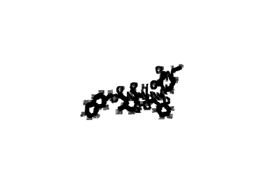 CCN1CCN(C(=O)NC(C(=O)NC2C(=O)N3C(C(=O)OCc4ccc5ccccc5c4)=C(C)CS[C@@H]23)c2ccccc2)C(=O)C1=O